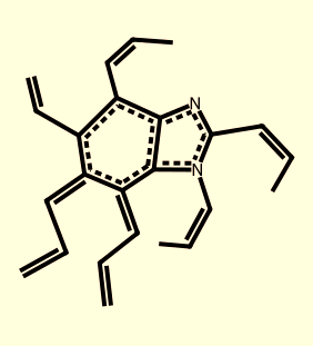 C=C/C=c1/c(C=C)c(/C=C\C)c2nc(/C=C\C)n(/C=C\C)c2/c1=C/C=C